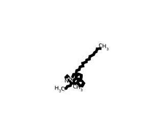 CCCCCCCCCCCCCCCCCCn1ccnc1C(CCCC)C(C)(Cc1ccccc1)c1ccccc1